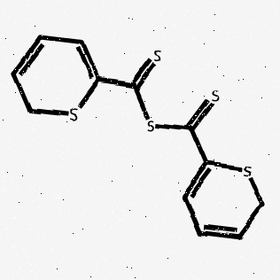 S=C(SC(=S)C1=CC=CCS1)C1=CC=CCS1